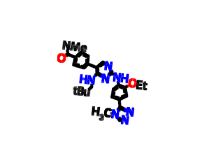 CCOc1cc(-c2nncn2C)ccc1Nc1ncc(-c2ccc(C(=O)NC)cc2)c(NCC(C)(C)C)n1